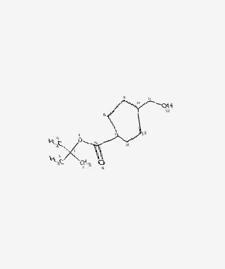 CC(C)(C)OC(=O)C1CCC(CO)CC1